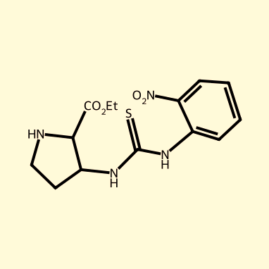 CCOC(=O)C1NCCC1NC(=S)Nc1ccccc1[N+](=O)[O-]